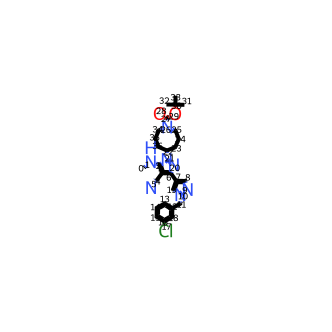 CNc1c(C#N)c(-c2cnn(Cc3cccc(Cl)c3)c2)nn1C1CCCN(C(=O)OC(C)(C)C)CCC1